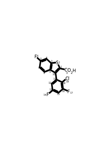 O=C(O)c1sc2cc(F)ccc2c1-c1cc(F)cc(F)c1Cl